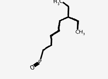 CCC(CC)CCCCCP=O